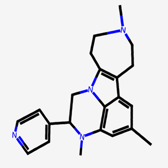 Cc1cc2c3c(c1)c1c(n3CC(c3ccncc3)N2C)CCN(C)CC1